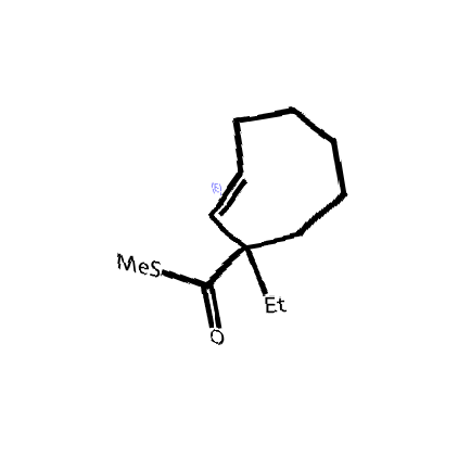 CCC1(C(=O)SC)/C=C/CCCCC1